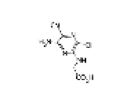 [C-]#[N+]c1nc(Cl)c(NCC(=O)O)nc1N